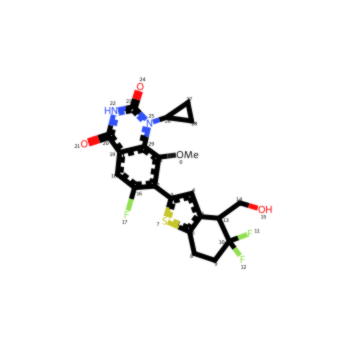 COc1c(-c2cc3c(s2)CCC(F)(F)C3CO)c(F)cc2c(=O)[nH]c(=O)n(C3CC3)c12